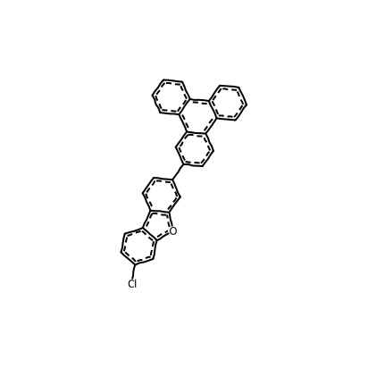 Clc1ccc2c(c1)oc1cc(-c3ccc4c5ccccc5c5ccccc5c4c3)ccc12